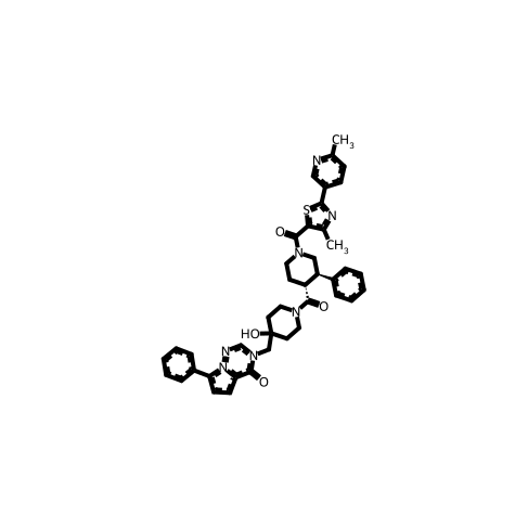 Cc1ccc(-c2nc(C)c(C(=O)N3CC[C@@H](C(=O)N4CCC(O)(Cn5cnn6c(-c7ccccc7)ccc6c5=O)CC4)[C@H](c4ccccc4)C3)s2)cn1